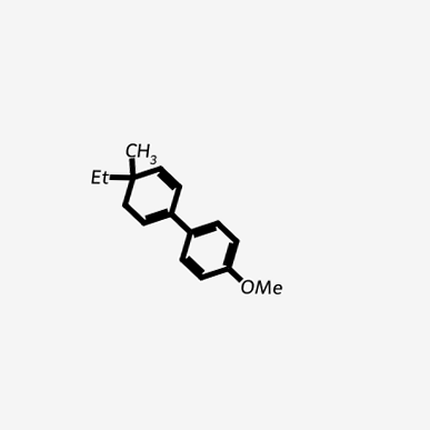 CCC1(C)C=CC(c2ccc(OC)cc2)=CC1